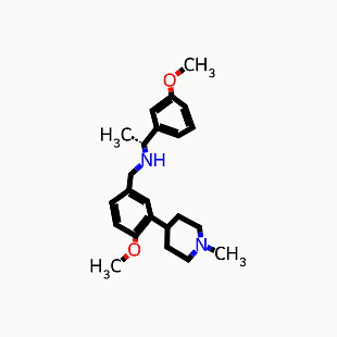 COc1cccc([C@@H](C)NCc2ccc(OC)c(C3CCN(C)CC3)c2)c1